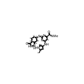 CNC(=O)c1cc(Nc2cc(C)[nH]n2)nc(Sc2ccc3c(=O)[nH][nH]c3c2)n1